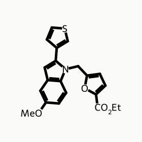 CCOC(=O)c1ccc(Cn2c(-c3ccsc3)cc3cc(OC)ccc32)o1